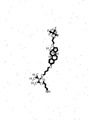 CC(C)N(C(C)C)P(OCCCC=N)OCCCCOc1ccc2c(c1)CC[C@@H]1[C@@H]2CC[C@]2(C)[C@@H](OCCCOC(C(F)(F)F)(C(F)(F)F)C(F)(F)F)CC[C@@H]12